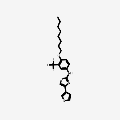 CCCCCCCCOc1ccc(Nc2nc(-c3ccsc3)cs2)cc1C(F)(F)F